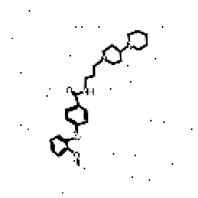 COc1ccccc1Oc1ccc(C(=O)NCCCN2CCC(N3CCCCC3)CC2)cc1